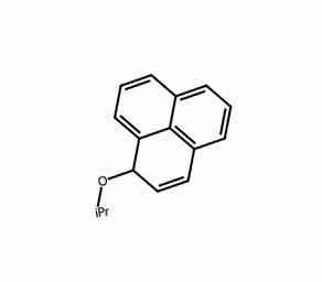 CC(C)OC1C=Cc2cccc3cccc1c23